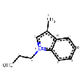 Cc1cn(CC[C]=O)c2ccccc12